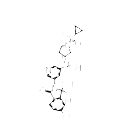 CN(c1cncc(N2C(=O)c3ccc(Cl)cc3C2(C)C)c1)[C@@H]1CCN(S(=O)(=O)C2CC2)C1